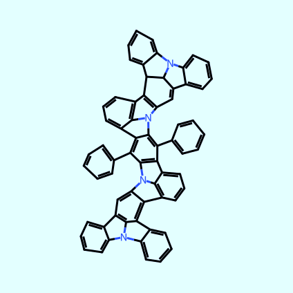 C1=C2c3ccccc3N3c4ccccc4C(c4c1n1c5c(-c6ccccc6)c6c7cccc8c9c%10c%11ccccc%11n%11c%12ccccc%12c(cc9n(c6c(-c6ccccc6)c5c5cccc4c51)c78)c%10%11)C23